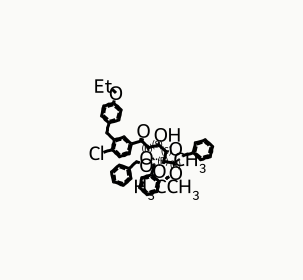 CCOc1ccc(Cc2cc(C(=O)[C@H](OCc3ccccc3)[C@@H](O)[C@H](OCc3ccccc3)[C@]3(COCc4ccccc4)OC(C)(C)O[C@@H]3C)ccc2Cl)cc1